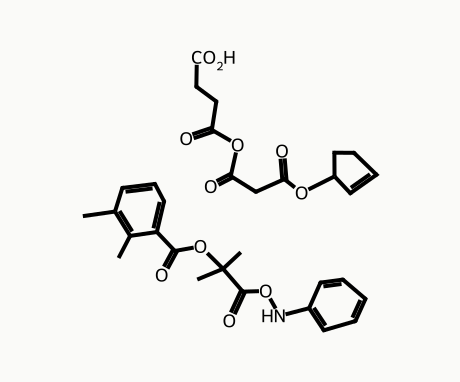 Cc1cccc(C(=O)OC(C)(C)C(=O)ONc2ccccc2)c1C.O=C(O)CCC(=O)OC(=O)CC(=O)OC1C=CCC1